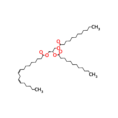 CCCCC/C=C\C/C=C\CCCCCCCC(=O)OC[C@@H](COC(=O)CCCCCCCCCCC)OC(=O)CCCCCCCCCCC